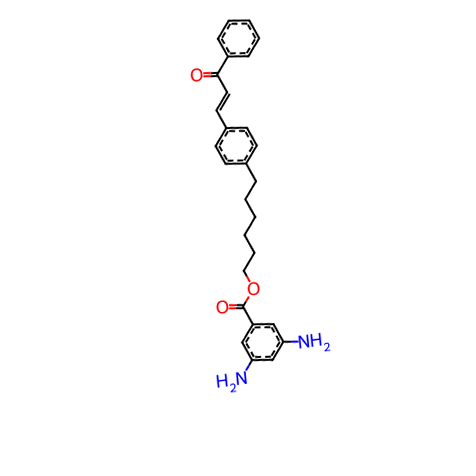 Nc1cc(N)cc(C(=O)OCCCCCCc2ccc(C=CC(=O)c3ccccc3)cc2)c1